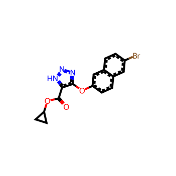 O=C(OC1CC1)c1[nH]nnc1Oc1ccc2cc(Br)ccc2c1